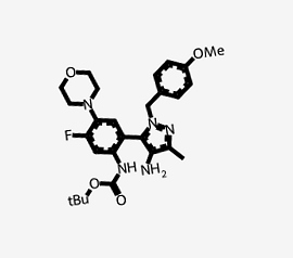 COc1ccc(Cn2nc(C)c(N)c2-c2cc(N3CCOCC3)c(F)cc2NC(=O)OC(C)(C)C)cc1